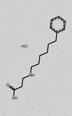 Cl.O=C(O)CCNCCCCCCc1ccccc1